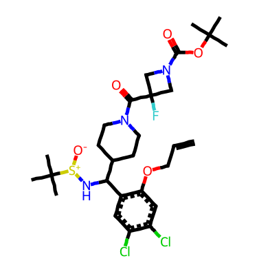 C=CCOc1cc(Cl)c(Cl)cc1C(N[S+]([O-])C(C)(C)C)C1CCN(C(=O)C2(F)CN(C(=O)OC(C)(C)C)C2)CC1